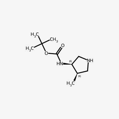 C[C@@H]1CNC[C@@H]1NC(=O)OC(C)(C)C